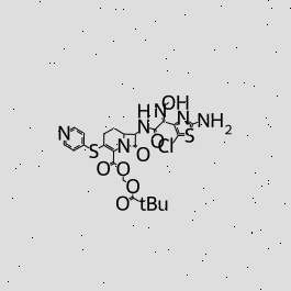 CC(C)(C)C(=O)OCOC(=O)C1=C(Sc2ccncc2)CCC2C(NC(=O)C(=NO)c3nc(N)sc3Cl)C(=O)N12